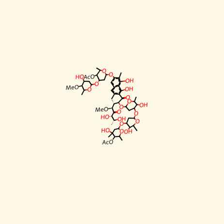 COC1C(O)CC(OC2CC(Oc3cc4cc5c(c(O)c4c(O)c3C)C(=O)[C@@H](OC3CC(OC4CC(OC6CC(C)(O)C(OC(C)=O)C(C)O6)C(O)C(C)O4)C(O)C(C)O3)[C@H]([C@H](OC)C(=O)[C@@H](O)[C@@H](C)O)C5)OC(C)C2OC(C)=O)OC1C